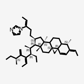 C=C(C(=CC)[C@H](CC)[C@@H](C)[C@H]1[C@@H](CCC(=CC)n2ccnc2)C[C@@]2(C)C3CCC4[C@H](C)C(=CC)C=C[C@@]45C[C@@]35CC[C@]12C)[C@@H](C)CC